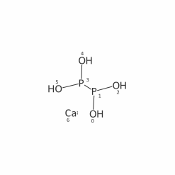 OP(O)P(O)O.[Ca]